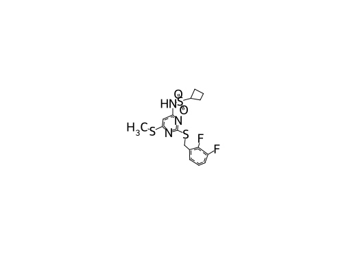 CSc1cc(NS(=O)(=O)C2CCC2)nc(SCc2cccc(F)c2F)n1